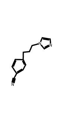 N#Cc1ccc(CCCn2ccnc2)cc1